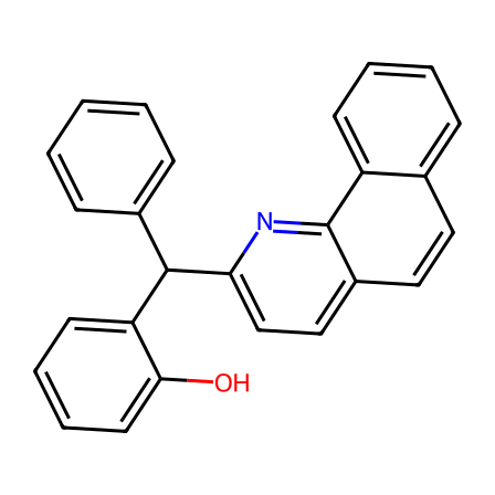 Oc1ccccc1C(c1ccccc1)c1ccc2ccc3ccccc3c2n1